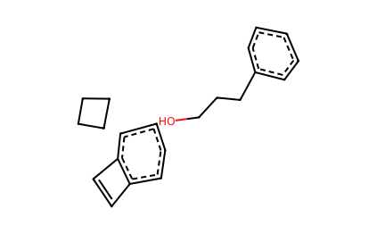 C1=Cc2ccccc21.C1CCC1.OCCCc1ccccc1